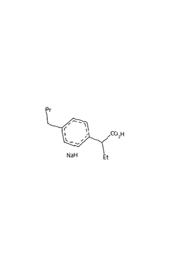 CCC(C(=O)O)c1ccc(CC(C)C)cc1.[NaH]